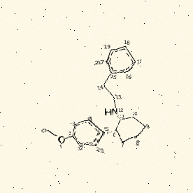 COc1ccc([C@H]2CCCC[C@H]2NCCc2ccccc2)cc1